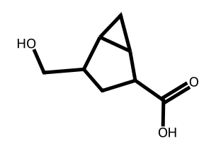 O=C(O)C1CC(CO)C2CC12